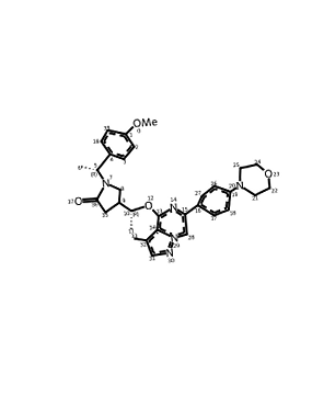 COc1ccc([C@@H](C)N2CC([C@@H](C)Oc3nc(-c4ccc(N5CCOCC5)cc4)cn4ncc(C)c34)CC2=O)cc1